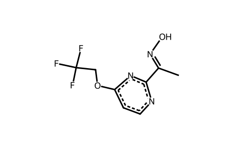 CC(=NO)c1nccc(OCC(F)(F)F)n1